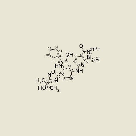 CCCn1c(=O)c2ccc(Nc3cc(N[C@H](CO)c4ccccc4)c(-c4nc(C(C)(C)O)no4)cn3)nc2n1C(C)C